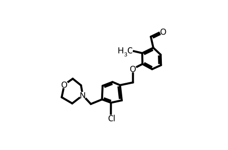 Cc1c(C=O)cccc1OCc1ccc(CN2CCOCC2)c(Cl)c1